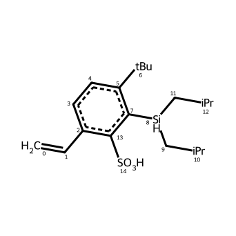 C=Cc1ccc(C(C)(C)C)c([SiH](CC(C)C)CC(C)C)c1S(=O)(=O)O